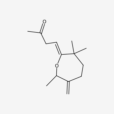 C=C1CCC(C)(C)C(=CCC(C)=O)OC1C